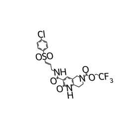 O=C(NC/C=C/S(=O)(=O)c1ccc(Cl)cc1)c1cc2c([nH]c1=O)CCN(C(=O)OCC(F)(F)F)C2